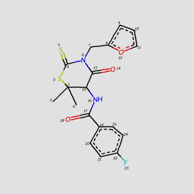 CC1(C)SC(=S)N(Cc2ccco2)C(=O)C1NC(=O)c1ccc(F)cc1